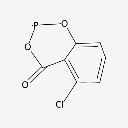 O=C1O[P]Oc2cccc(Cl)c21